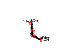 CCCCCCCCC(CCCCCC)OC(=O)CCCCCOC(=O)CCC(=O)C(=O)OCCCCCC(=O)OC(CCCCCC)CCCCCCCC